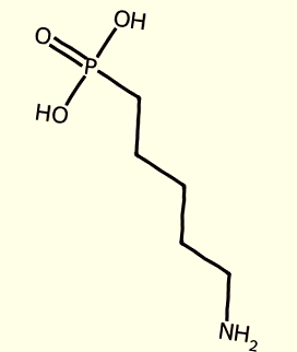 NCCCCCP(=O)(O)O